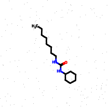 CCCCCCCCNC(=O)NC1CCCCC1